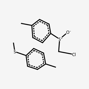 CSc1ccc(C)cc1.Cc1ccc([S+]([O-])CCl)cc1